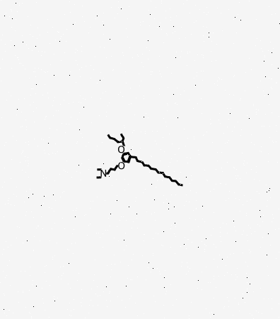 CCCCCCCCCCCCCCCc1cc(OCCCCN(CC)CC)cc(OCC(CC)CCCC)c1